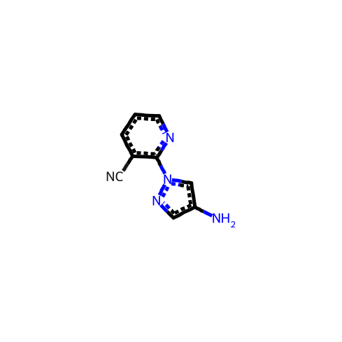 N#Cc1cccnc1-n1cc(N)cn1